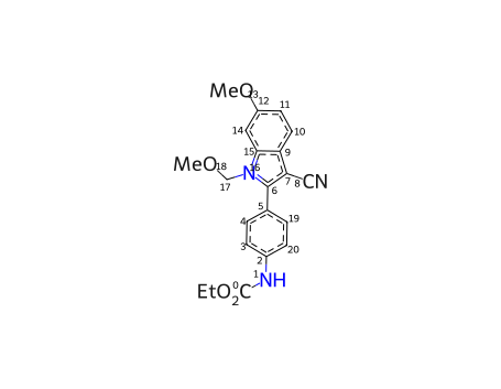 CCOC(=O)Nc1ccc(-c2c(C#N)c3ccc(OC)cc3n2COC)cc1